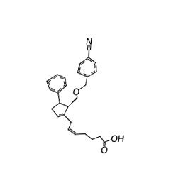 N#Cc1ccc(COC[C@H]2C(C/C=C\CCCC(=O)O)=CCC2c2ccccc2)cc1